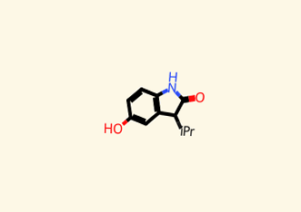 CC(C)C1C(=O)Nc2ccc(O)cc21